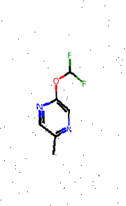 [CH2]c1cnc(OC(F)F)cn1